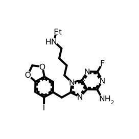 CCNCCCCn1c(Cc2cc3c(cc2I)OCO3)nc2c(N)nc(F)nc21